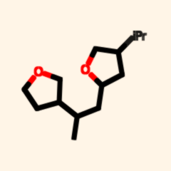 CC(C)C1COC(CC(C)C2CCOC2)C1